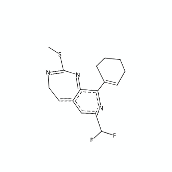 CSC1=NCC=c2cc(C(F)F)nc(C3=CCCCC3)c2=N1